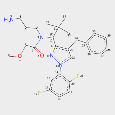 COCC(=O)N(CCCN)[C@@H](c1nn(-c2cc(F)ccc2F)cc1Cc1ccccc1)C(C)(C)C